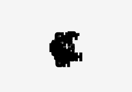 CC(C)CCC[C@@H](C)[C@H]1CC[C@H]2C3=CC=C4C[C@@H](O)[C@@H](OCCO)[C@H](O)[C@]4(C)[C@H]3CC[C@]12C